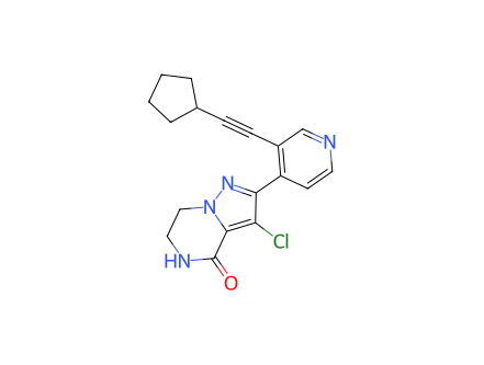 O=C1NCCn2nc(-c3ccncc3C#CC3CCCC3)c(Cl)c21